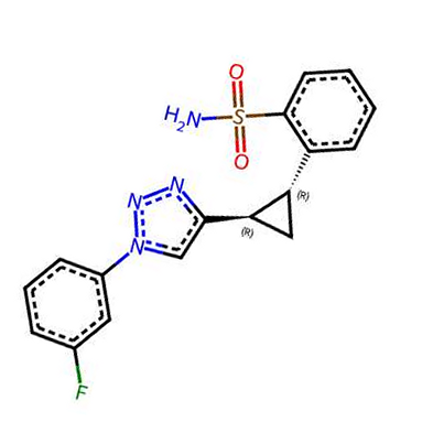 NS(=O)(=O)c1ccccc1[C@@H]1C[C@H]1c1cn(-c2cccc(F)c2)nn1